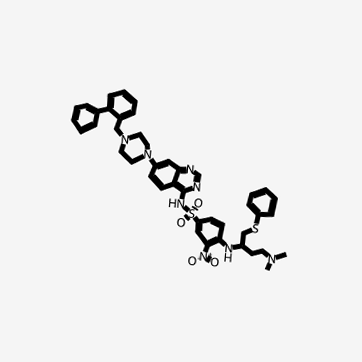 CN(C)CCC(CSc1ccccc1)Nc1ccc(S(=O)(=O)Nc2ncnc3cc(N4CCN(Cc5ccccc5-c5ccccc5)CC4)ccc23)cc1[N+](=O)[O-]